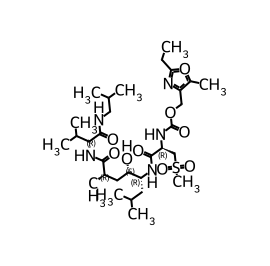 CCc1nc(COC(=O)N[C@@H](CS(C)(=O)=O)C(=O)N[C@H](CC(C)C)[C@@H](O)C[C@@H](C)C(=O)N[C@@H](C(=O)NCC(C)C)C(C)C)c(C)o1